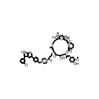 CO[C@H]1C[C@@H](C)[C@@]2(O)O[C@@H]1[C@@H](O)C[C@@H](C)C/C(C)=C/[C@@H](CCCC(=O)N1CCN(Cc3ccc(-c4cnc5[nH]cc(-c6cccc(Cl)c6)c5c4)cc3)CC1)C(=O)C[C@H](O)[C@@H](C)[C@@H](/C(C)=C/[C@@H]1CC[C@@H](O)[C@H](OC)C1)OC(=O)[C@@H]1CCCCN1C(=O)C2=O